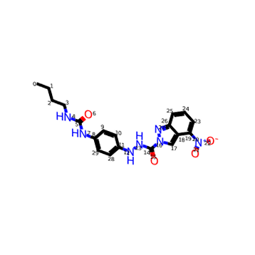 CCCCNC(=O)Nc1ccc(NNC(=O)n2cc3c([N+](=O)[O-])cccc3n2)cc1